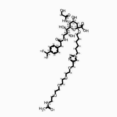 CC(=O)NCCOCCOCCOCCOCc1cn(CCCCCCO[C@]2(C(=O)O)C[C@H](O)[C@@H](NC(=O)CO)[C@H]([C@H](O)[C@H](O)CNC(=O)Cc3ccc(C(F)F)cc3)O2)nn1